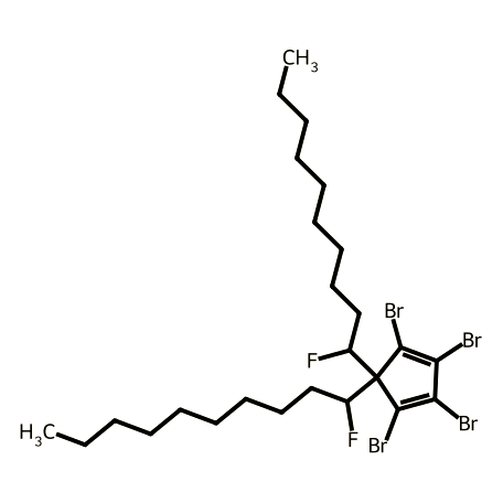 CCCCCCCCCC(F)C1(C(F)CCCCCCCCC)C(Br)=C(Br)C(Br)=C1Br